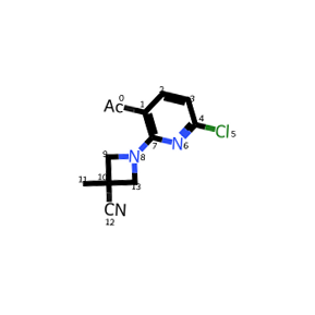 CC(=O)c1ccc(Cl)nc1N1CC(C)(C#N)C1